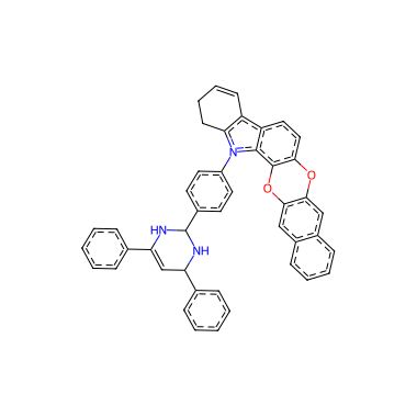 C1=Cc2c(n(-c3ccc(C4NC(c5ccccc5)=CC(c5ccccc5)N4)cc3)c3c4c(ccc23)Oc2cc3ccccc3cc2O4)CC1